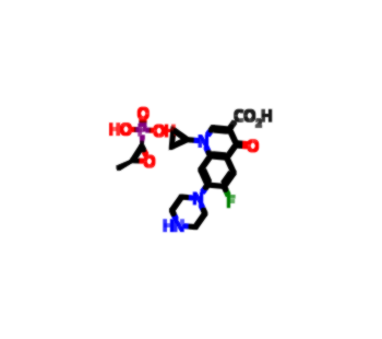 C[C@@H]1O[C@@H]1P(=O)(O)O.O=C(O)c1cn(C2CC2)c2cc(N3CCNCC3)c(F)cc2c1=O